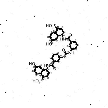 O=C(Nc1cccc(C(=O)Nc2ccc(S(=O)(=O)O)c3ccc(O)cc23)c1)Nc1cccc(C(=O)Nc2ccc(S(=O)(=O)O)c3ccc(O)cc23)c1